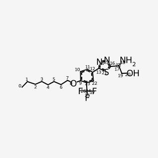 CCCCCCCCOc1ccc(-c2nnc([C@@H](N)CO)s2)cc1C(F)(F)F